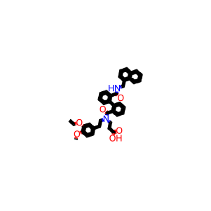 CCOc1cc(CCN(CCC(=O)O)C(=O)c2ccccc2-c2ccccc2C(=O)NCc2cccc3ccccc23)ccc1OC